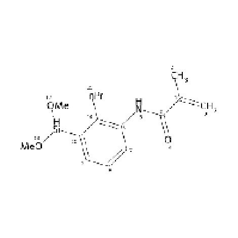 C=C(C)C(=O)Nc1cccc([SiH](OC)OC)c1CCC